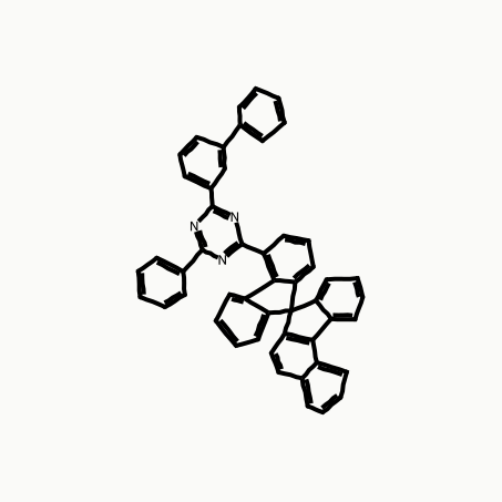 c1ccc(-c2cccc(-c3nc(-c4ccccc4)nc(-c4cccc5c4-c4ccccc4C54c5ccccc5-c5c4ccc4ccccc54)n3)c2)cc1